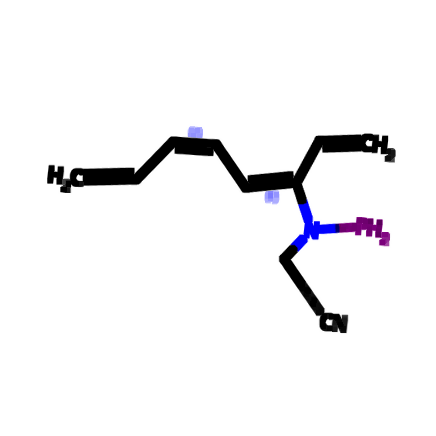 C=C/C=C\C=C(/C=C)N(P)CC#N